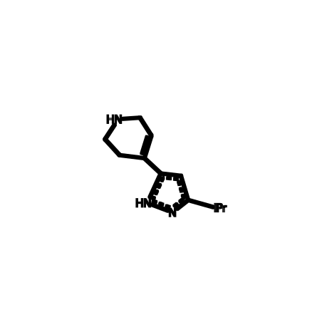 CC(C)c1cc(C2=CCNCC2)[nH]n1